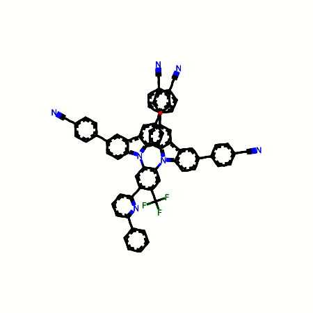 N#Cc1ccc(-c2ccc3c(c2)c2cc(-c4ccc(C#N)cc4)ccc2n3-c2cc(-c3cccc(-c4ccccc4)n3)c(C(F)(F)F)cc2-n2c3ccc(-c4ccc(C#N)cc4)cc3c3cc(-c4ccc(C#N)cc4)ccc32)cc1